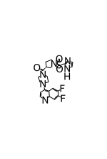 O=C([C@H]1CCN(S(=O)(=O)c2ncc[nH]2)C1)N1CCN(c2ccnc3cc(F)c(F)cc23)CC1